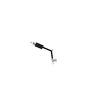 N#CCS